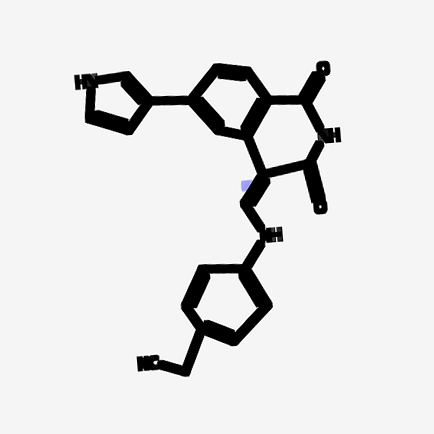 N#CCc1ccc(N/C=C2\C(=O)NC(=O)c3ccc(-c4cc[nH]c4)cc32)cc1